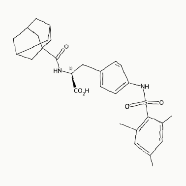 Cc1cc(C)c(S(=O)(=O)Nc2ccc(C[C@H](NC(=O)C34CC5CC(CC(C5)C3)C4)C(=O)O)cc2)c(C)c1